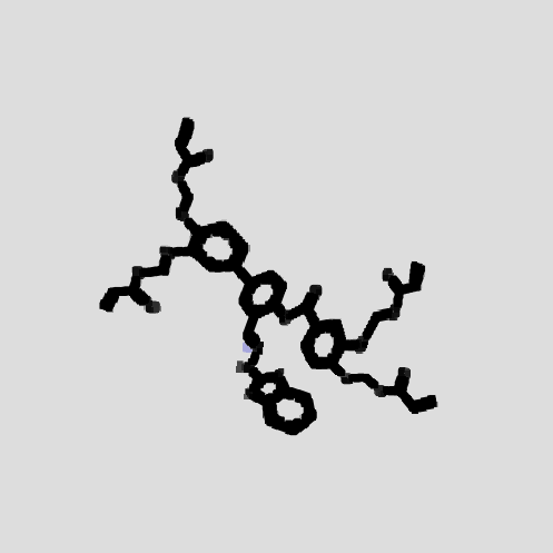 C=CC(=O)OCOc1ccc(C(=O)Oc2ccc(-c3ccc(OCOC(=O)C=C)c(OCOC(=O)C=C)c3)cc2/C=N/Nc2nc3ccccc3s2)cc1OCOC(=O)C=C